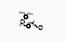 COc1ccc(N2CSC(=O)N(Cc3cccc(NC(=O)OCCN4CCSCC4)c3)C2)cc1OC